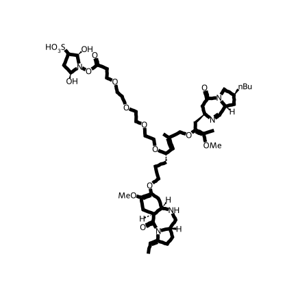 C/C=C1\CC[C@H]2CN[C@@H]3CC(OCCC[C@@H](/C=C(\C)CO/C(C[C@H]4CC(=O)N5C[C@@H](CCCC)C[C@H]5C=N4)=C(/C)OC)OCCOCCOCCOCCC(=O)ON4[C@H](O)CC(S(=O)(=O)O)[C@@H]4O)=C(OC)C[C@@H]3C(=O)N12